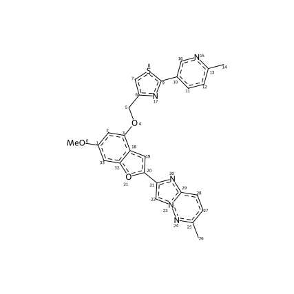 COc1cc(OCc2csc(-c3ccc(C)nc3)n2)c2cc(-c3cn4nc(C)ccc4n3)oc2c1